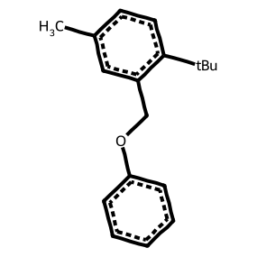 Cc1ccc(C(C)(C)C)c(COc2ccccc2)c1